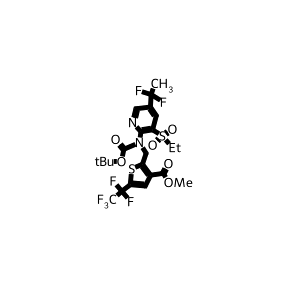 CCS(=O)(=O)c1cc(C(C)(F)F)cnc1N(Cc1sc(C(F)(F)C(F)(F)F)cc1C(=O)OC)C(=O)OC(C)(C)C